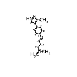 Cc1n[nH]cc1-c1c[c]c(OCCCN(C)C)cc1